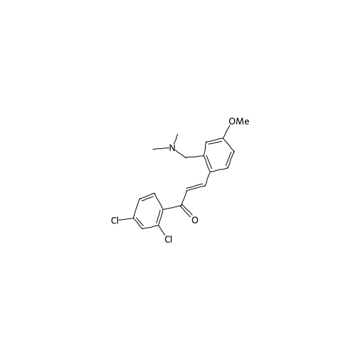 COc1ccc(C=CC(=O)c2ccc(Cl)cc2Cl)c(CN(C)C)c1